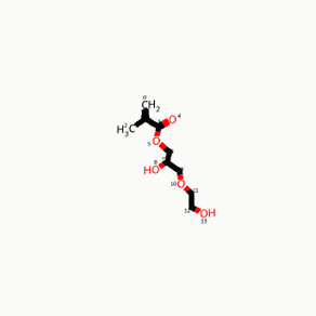 C=C(C)C(=O)OCC(O)COCCO